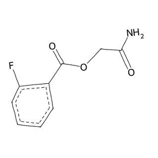 NC(=O)COC(=O)c1ccccc1F